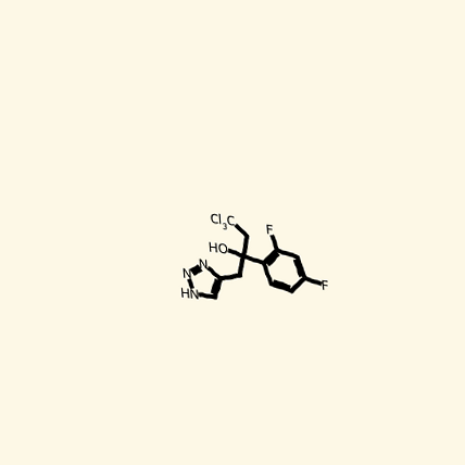 OC(Cc1c[nH]nn1)(CC(Cl)(Cl)Cl)c1ccc(F)cc1F